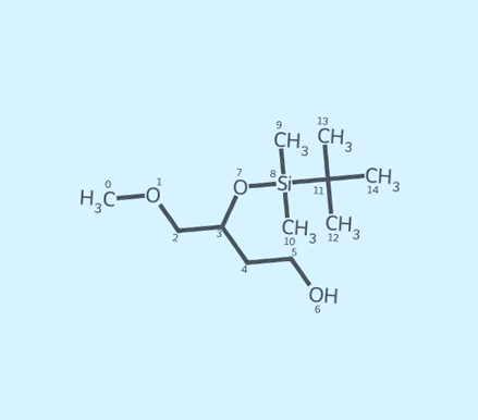 COCC(CCO)O[Si](C)(C)C(C)(C)C